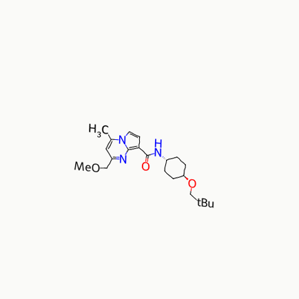 COCc1cc(C)n2ccc(C(=O)N[C@H]3CC[C@H](OCC(C)(C)C)CC3)c2n1